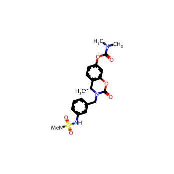 CNS(=O)(=O)Nc1cccc(CN2C(=O)Oc3cc(OC(=O)N(C)C)ccc3[C@H]2C)c1